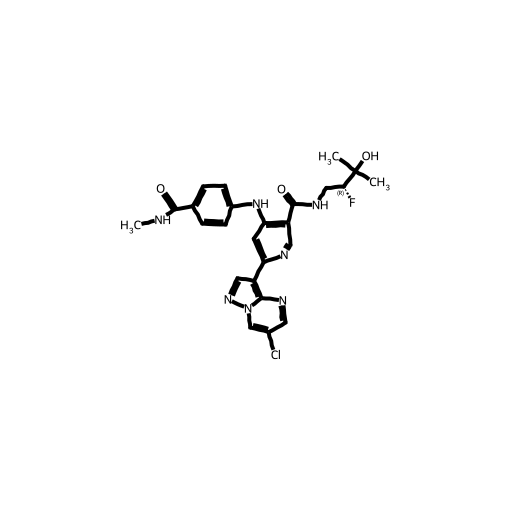 CNC(=O)c1ccc(Nc2cc(-c3cnn4cc(Cl)cnc34)ncc2C(=O)NC[C@@H](F)C(C)(C)O)cc1